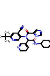 CC(C)(C)c1cc(C#N)c(N(C(=O)c2cnc[nH]2)C(C(=O)NC2CCCCC2)c2cccnc2)cn1